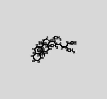 CC(=CCC[C@@H](C)[C@H]1CC[C@H]2C3=CCC4CCCC[C@]4(C)[C@H]3CC[C@]12C)CO